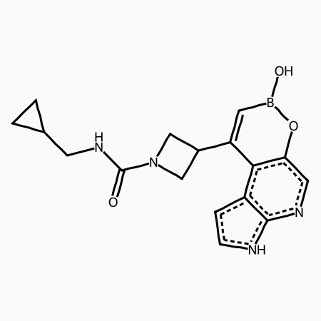 O=C(NCC1CC1)N1CC(C2=CB(O)Oc3cnc4[nH]ccc4c32)C1